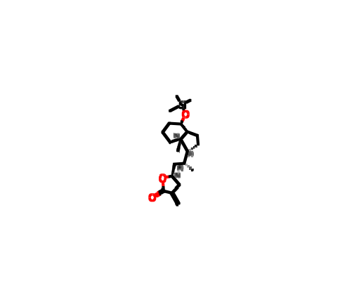 C=C1C[C@H](C[C@@H](C)[C@H]2CCC3C(O[Si](C)(C)C)CCC[C@]32C)OC1=O